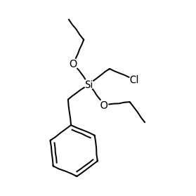 CCO[Si](CCl)(Cc1ccccc1)OCC